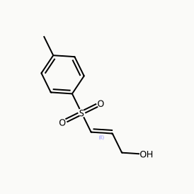 Cc1ccc(S(=O)(=O)/C=C/CO)cc1